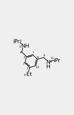 CCc1cc(CNC(C)C)cc(CNC(C)C)c1